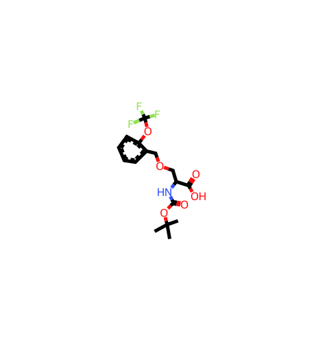 CC(C)(C)OC(=O)NC(COCc1ccccc1OC(F)(F)F)C(=O)O